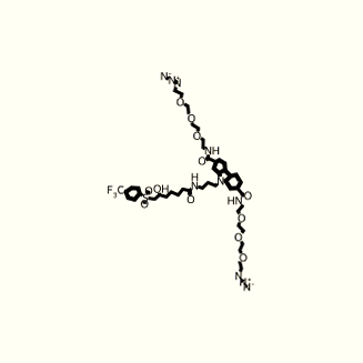 [N-]=[N+]=NCCOCCOCCOCCNC(=O)c1ccc2c3ccc(C(=O)NCCOCCOCCOCCN=[N+]=[N-])cc3n(CCCNC(=O)CCCCC(O)CS(=O)(=O)c3ccc(C(F)(F)F)cc3)c2c1